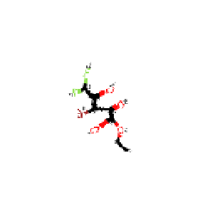 CCOC(=O)C(=O)C(Br)C(=O)C(F)F